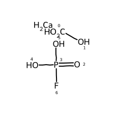 O=C(O)O.O=P(O)(O)F.[CaH2]